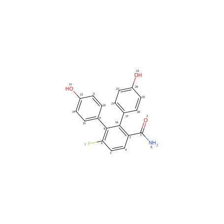 NC(=O)c1ccc(F)c(-c2ccc(O)cc2)c1-c1ccc(O)cc1